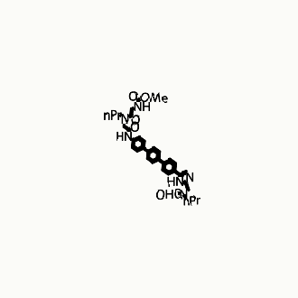 CCCN(C=O)Cc1ncc(-c2ccc(-c3ccc(-c4ccc(NC(=O)CN(CCC)C(=O)CNC(=O)OC)cc4)cc3)cc2)[nH]1